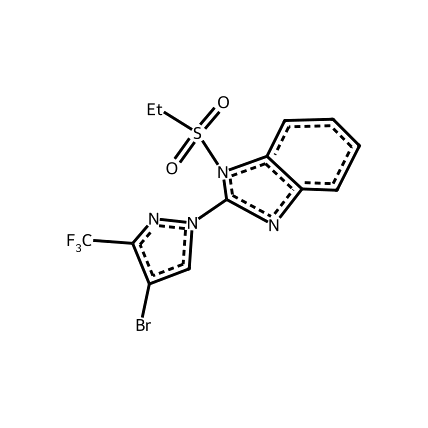 CCS(=O)(=O)n1c(-n2cc(Br)c(C(F)(F)F)n2)nc2ccccc21